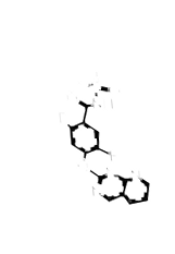 CS(=O)(=O)NC(=O)c1cc(F)c(Oc2ncc3cccnc3n2)cc1F